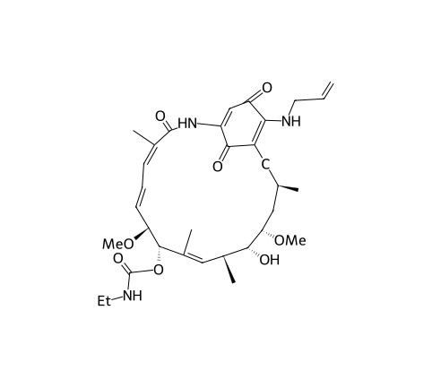 C=CCNC1=C2C[C@@H](C)C[C@H](OC)[C@H](O)[C@@H](C)/C=C(\C)[C@H](OC(=O)NCC)[C@@H](OC)/C=C/C=C(/C)C(=O)NC(=CC1=O)C2=O